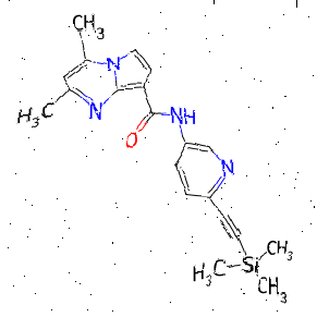 Cc1cc(C)n2ccc(C(=O)Nc3ccc(C#C[Si](C)(C)C)nc3)c2n1